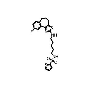 O=S(=O)(NCCCCCNc1nc2c(s1)CCCc1ccc(F)cc1-2)c1cccs1